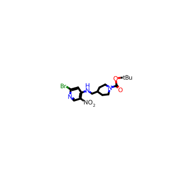 CC(C)(C)OC(=O)N1CCC(CNc2cc(Br)ncc2[N+](=O)[O-])CC1